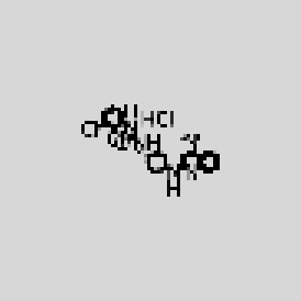 CN(C)c1cc(N[C@H]2CC[C@@H](CNC(=O)Nc3cccc(Cl)c3Cl)CC2)nc2ccccc12.Cl